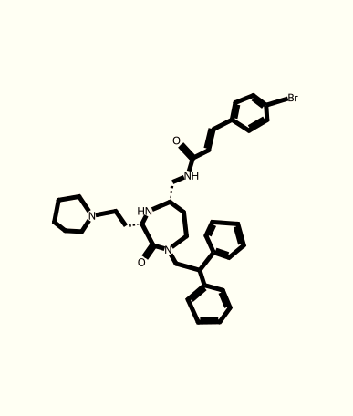 O=C(C=Cc1ccc(Br)cc1)NC[C@@H]1CCN(CC(c2ccccc2)c2ccccc2)C(=O)[C@H](CCN2CCCCC2)N1